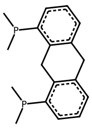 CP(C)c1cccc2c1Cc1c(cccc1P(C)C)C2